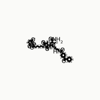 CCC(CC(C)(C(=O)NCCCNC(=O)c1ccc(C(=O)c2ccccc2)cc1)C1C(=O)N(CCCCCC(=O)ON2C(=O)CCC2=O)C(=O)C1C)C(N)=O